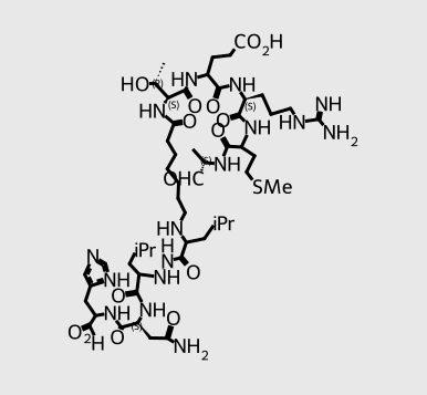 [2H]C(=O)C(Cc1cnc[nH]1)NC(=O)[C@H](CC(N)=O)NC(=O)C(CC(C)C)NNC(=O)C(CC(C)C)NCCCCCCC(=O)N[C@H](C(=O)NC(CCC(=O)O)C(=O)N[C@@H](CCCNC(=N)N)C(=O)NC(CCSC)C(=O)N[C@@H](C)C=O)[C@@H](C)O